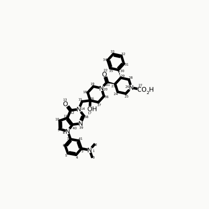 CN(C)c1cccc(-n2ccc3c(=O)n(CC4(O)CCN(C(=O)[C@@H]5CCN(C(=O)O)C[C@H]5c5ccccc5)CC4)cnc32)c1